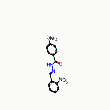 COc1ccc(C(=O)NN=Cc2ccccc2[N+](=O)[O-])cc1